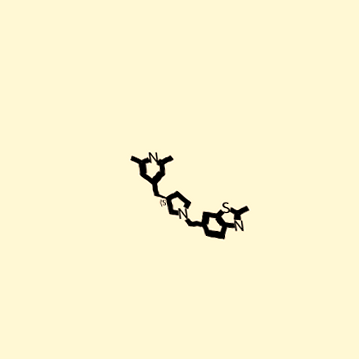 Cc1cc(C[C@H]2CCN(Cc3ccc4nc(C)sc4c3)C2)cc(C)n1